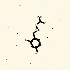 OC(Cl)NNCc1ccc(F)cc1F